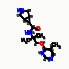 Cc1cncnc1OCC(C)(C)NC(=O)C1C2CNCC21